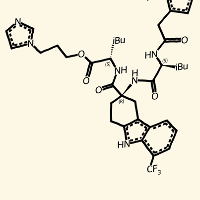 CCC(C)[C@H](NC(=O)Cc1ccccc1F)C(=O)N[C@]1(C(=O)N[C@H](C(=O)OCCCn2ccnc2)C(C)CC)CCc2[nH]c3c(C(F)(F)F)cccc3c2C1